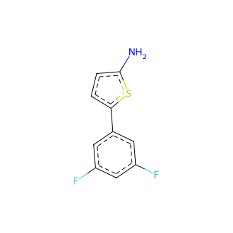 Nc1ccc(-c2cc(F)cc(F)c2)s1